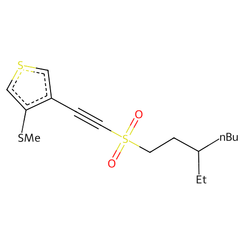 CCCCC(CC)CCS(=O)(=O)C#Cc1cscc1SC